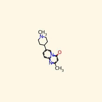 Cc1cc(=O)n2cc(C3CCN(C)CC3)ccc2n1